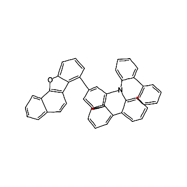 c1ccc(-c2ccccc2N(c2cccc(-c3cccc4oc5c6ccccc6ccc5c34)c2)c2ccccc2-c2ccccc2)cc1